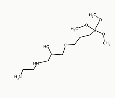 CO[Si](CCCOCC(O)CNCCN)(OC)OC